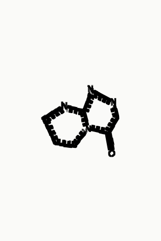 O=c1cnnc2ncccn12